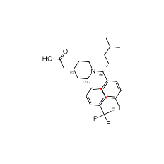 CC(C)CC[C@H](c1ccc(I)cc1)N1CC[C@@H](CC(=O)O)C[C@H]1c1ccc(C(F)(F)F)cc1